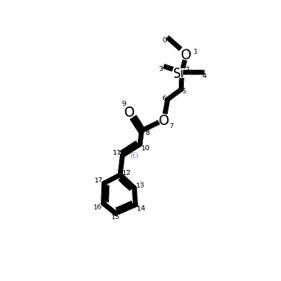 CO[Si](C)(C)CCOC(=O)/C=C/c1ccccc1